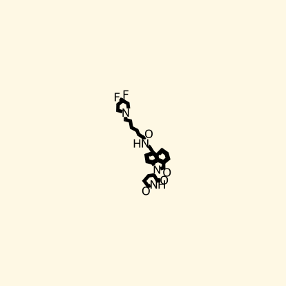 O=C(CCCCCN1CCC(F)(F)CC1)NCc1ccc2c3c(cccc13)C(=O)N2C1CCC(=O)NC1=O